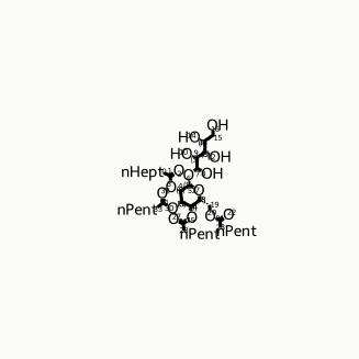 CCCCCCCC(=O)O[C@@H]1[C@H](OC(O)[C@@H](O)[C@@H](O)[C@H](O)CO)O[C@H](COC(=O)CCCCC)[C@@H](OC(=O)CCCCC)[C@@H]1OC(=O)CCCCC